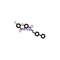 O=C(NCCc1ccc(-c2ccccc2)cc1)c1ccc2c(c1)NC(=O)c1ccc(F)cc1S2